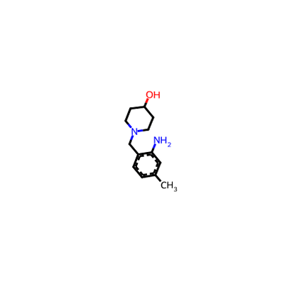 Cc1ccc(CN2CCC(O)CC2)c(N)c1